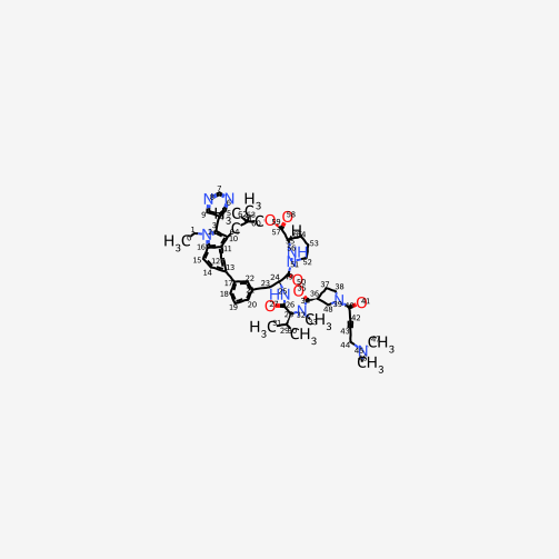 CCn1c(-c2cncnc2)c2c3cc(ccc31)-c1cccc(c1)C[C@H](NC(=O)[C@H](C(C)C)N(C)C(=O)[C@H]1CCN(C(=O)C#CCN(C)C)C1)C(=O)N1CCC[C@H](N1)C(=O)OCC(C)(C)C2